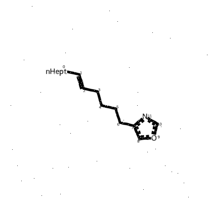 CCCCCCCC=CCCCCc1cocn1